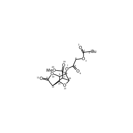 CCC(C)C(=O)OCC(=O)OC1C2OC(=O)C3C2OC1C3C(=O)OC